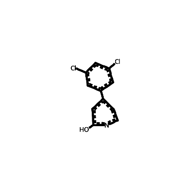 Oc1cc(-c2cc(Cl)cc(Cl)c2)ccn1